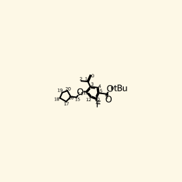 C=C(C)c1cc(C(=O)OC(C)(C)C)c(F)cc1OCC1CCCC1